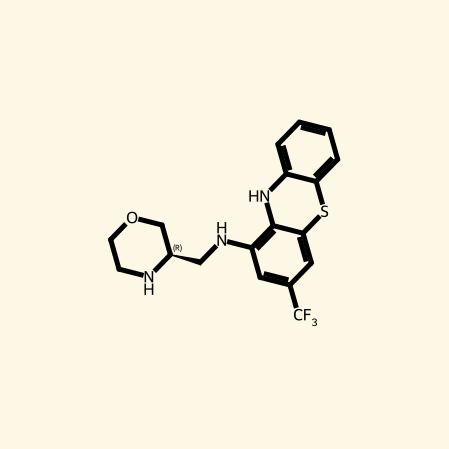 FC(F)(F)c1cc(NC[C@@H]2COCCN2)c2c(c1)Sc1ccccc1N2